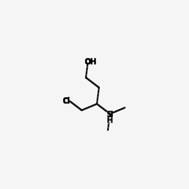 C[SiH](C)C(CCl)CCO